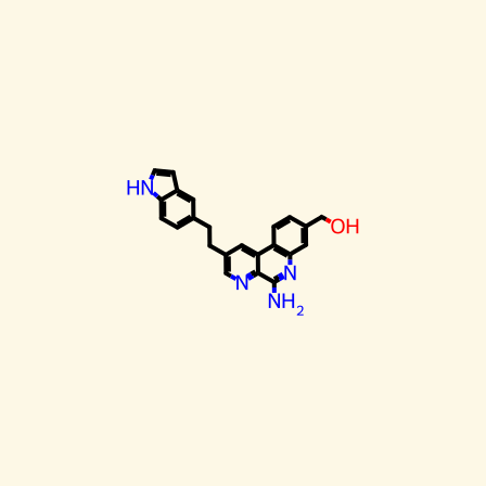 Nc1nc2cc(CO)ccc2c2cc(CCc3ccc4[nH]ccc4c3)cnc12